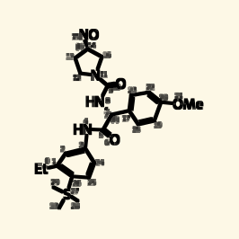 CCc1cc(NC(=O)[C@H](NC(=O)N2CC[C@@H](N=O)C2)c2ccc(OC)cc2)ccc1S(C)(C)C